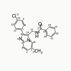 Cc1ccc2nc(-c3ccc(Cl)cc3)c(CNC(=O)c3ccccc3)n2c1